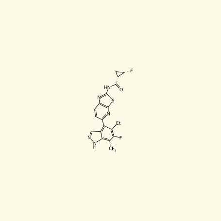 CCc1c(F)c(C(F)(F)F)c2[nH]ncc2c1-c1ccc2nc(NC(=O)[C@@H]3C[C@@H]3F)sc2n1